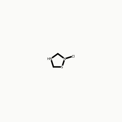 ClN1CNCS1